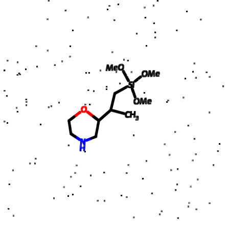 CO[Si](CC(C)C1CNCCO1)(OC)OC